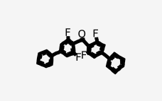 O=C(c1c(F)cc(-c2ccccc2)cc1F)c1c(F)cc(-c2ccccc2)cc1F